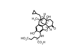 C[N@+]1(CC2CC2)CC[C@]23c4c5cc(O)c(N[C@@H](CCC(=O)O)C(=O)O)c4O[C@H]2C(=O)CC[C@@]3(O)[C@H]1C5